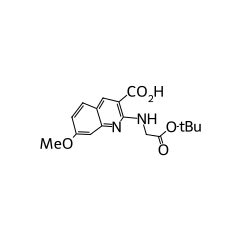 COc1ccc2cc(C(=O)O)c(NCC(=O)OC(C)(C)C)nc2c1